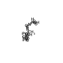 Cc1cc(Nc2ncc(Cl)c(Nc3ccccc3S(=O)(=O)C(C)C)n2)c(OC(C)C)cc1C1CCN(C2CN(C(=O)C3CCN(c4ccc(NC5CCC(=O)NC5=O)cc4)CC3)C2)CC1